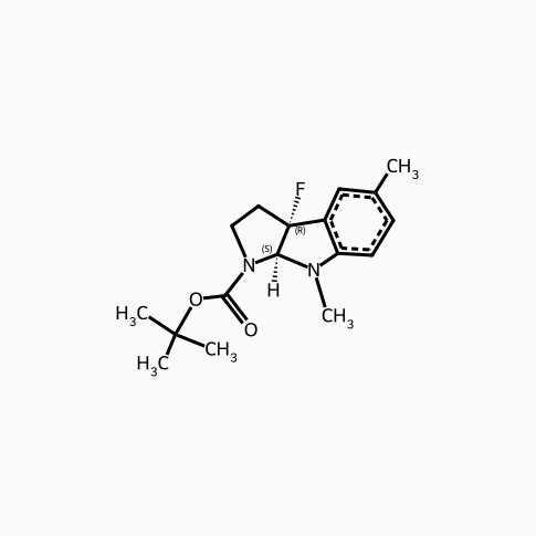 Cc1ccc2c(c1)[C@]1(F)CCN(C(=O)OC(C)(C)C)[C@@H]1N2C